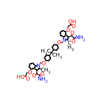 Cc1c(C(=O)C(N)=O)c2c(OCC(=O)O)cccc2n1COc1ccc(C(C)(C)c2ccc(OCn3c(C)c(C(=O)C(N)=O)c4c(OCC(=O)O)cccc43)cc2)cc1